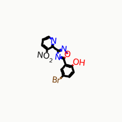 O=[N+]([O-])c1cccnc1-c1noc(-c2cc(Br)ccc2O)n1